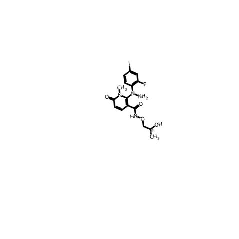 C[C@H](O)CONC(=O)c1ccc(=O)n(C)c1N(N)c1ccc(I)cc1F